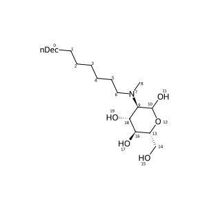 CCCCCCCCCCCCCCCCN(C)[C@H]1C(O)O[C@H](CO)[C@@H](O)[C@@H]1O